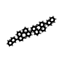 c1ccc2cc(-c3ccc4oc5ccc(-c6ccc7oc8ccc(-c9ccc%10ccccc%10c9)c9cccc(c%10cccc6c7%10)c89)c6cccc(c7cccc3c47)c56)ccc2c1